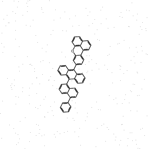 c1ccc(-c2cccc3c(-c4c5ccccc5c(-c5ccc6c(c5)Oc5cccc7cccc-6c57)c5ccccc45)cccc23)cc1